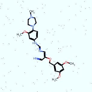 COc1cc(CO/C(C=N)=C/N=C/Nc2ccc(N3CCN(C)CC3)c(OC)c2)cc(OC)c1